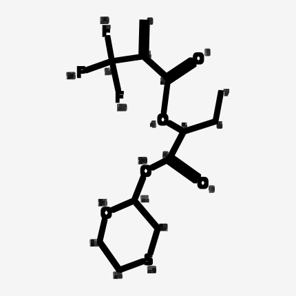 C=C(C(=O)OC(CC)C(=O)OC1CSCCO1)C(F)(F)F